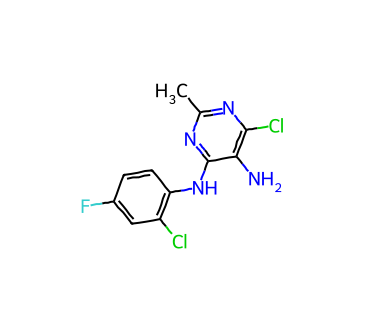 Cc1nc(Cl)c(N)c(Nc2ccc(F)cc2Cl)n1